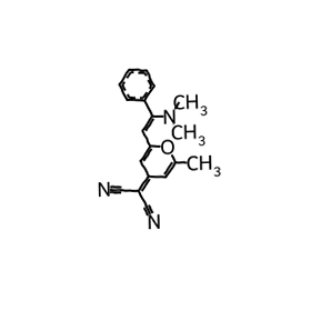 CC1=CC(=C(C#N)C#N)C=C(C=C(c2ccccc2)N(C)C)O1